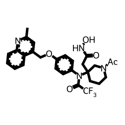 CC(=O)N1CCCC(CC(=O)NO)(N(C(=O)C(F)(F)F)c2ccc(OCc3cc(C)nc4ccccc34)cc2)C1